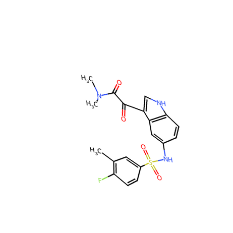 Cc1cc(S(=O)(=O)Nc2ccc3[nH]cc(C(=O)C(=O)N(C)C)c3c2)ccc1F